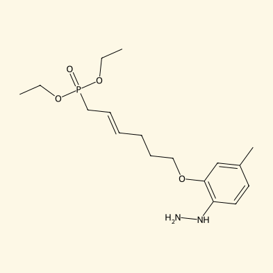 CCOP(=O)(C/C=C/CCCOc1cc(C)ccc1NN)OCC